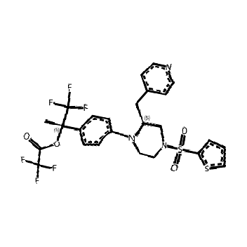 C[C@](OC(=O)C(F)(F)F)(c1ccc(N2CCN(S(=O)(=O)c3cccs3)C[C@@H]2Cc2ccncc2)cc1)C(F)(F)F